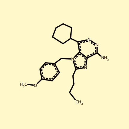 CCCCc1nc2c(N)nnc(C3CCCCC3)c2n1Cc1ccc(OC)cc1